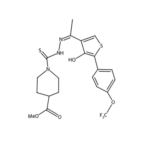 COC(=O)C1CCN(C(=S)N/N=C(/C)c2csc(-c3ccc(OC(F)(F)F)cc3)c2O)CC1